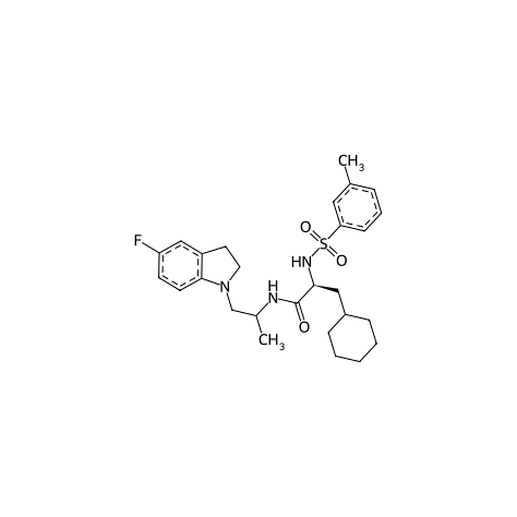 Cc1cccc(S(=O)(=O)N[C@@H](CC2CCCCC2)C(=O)NC(C)CN2CCc3cc(F)ccc32)c1